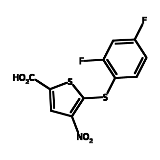 O=C(O)c1cc([N+](=O)[O-])c(Sc2ccc(F)cc2F)s1